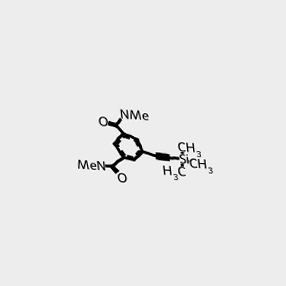 CNC(=O)c1cc(C#C[Si](C)(C)C)cc(C(=O)NC)c1